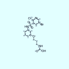 O=C(O)NCCCOc1cccc(NS(=O)(=O)c2cc(Br)cnc2Cl)c1